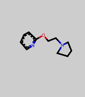 c1ccc(OCCN2CCCC2)nc1